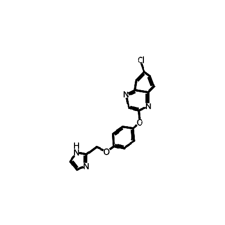 Clc1ccc2nc(Oc3ccc(OCc4ncc[nH]4)cc3)cnc2c1